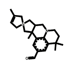 CC1=CC[Si]2(C1)CC1CN3CCC(C)(C)c4cc(C=O)cc(c43)C1(C)C2